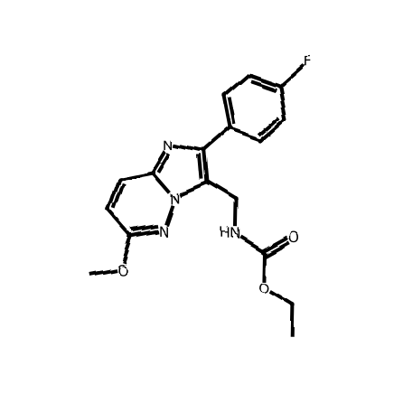 CCOC(=O)NCc1c(-c2ccc(F)cc2)nc2ccc(OC)nn12